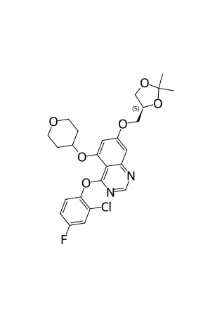 CC1(C)OC[C@H](COc2cc(OC3CCOCC3)c3c(Oc4ccc(F)cc4Cl)ncnc3c2)O1